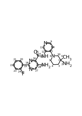 CC1(N)CCCN(c2ccncc2NC(=O)c2nc(-c3ccccc3F)ncc2N)C1